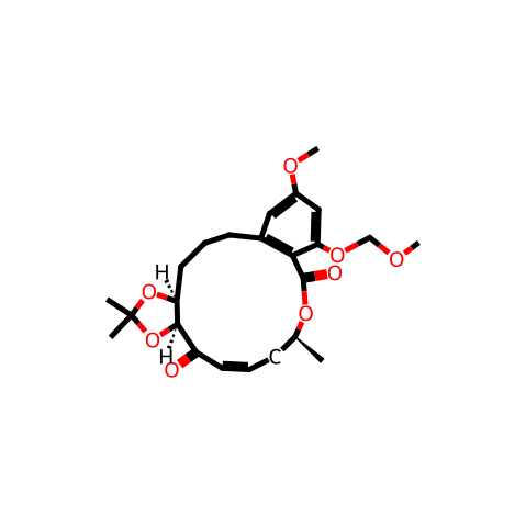 COCOc1cc(OC)cc2c1C(=O)O[C@@H](C)C/C=C\C(=O)[C@H]1OC(C)(C)O[C@H]1CCC2